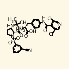 CC(C)(C)N[C@H]1CCN(S(=O)(=O)c2cccc(C#N)c2)[C@@H]1C(=O)N[C@@H](Cc1ccc(NC(=O)c2c(Cl)cncc2Cl)cc1)C(=O)O